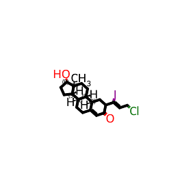 C[C@]12CC[C@H]3[C@@H](CCC4=CC(=O)C(C(I)=CCCl)C[C@@H]43)[C@@H]1CC[C@H]2O